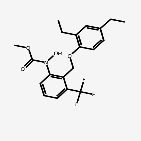 CCc1ccc(OCc2c(N(O)C(=O)OC)cccc2C(F)(F)F)c(CC)c1